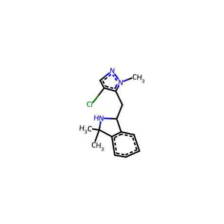 Cn1ncc(Cl)c1CC1NC(C)(C)c2ccccc21